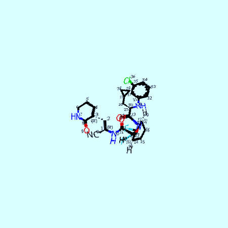 N#C[C@@H](C[C@H]1CCCNC1=O)NC(=O)[C@@H]1[C@@H]2CC[C@@H](CC2(F)F)N1C(=O)[C@@H](CC1CC1)Nc1cccc(Cl)c1